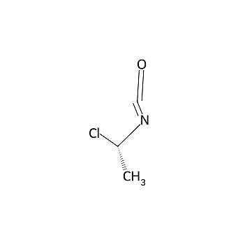 C[C@H](Cl)N=C=O